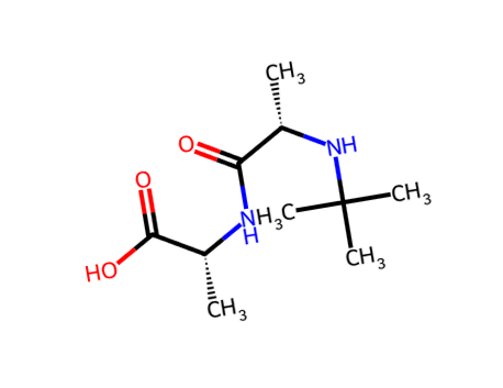 C[C@H](NC(C)(C)C)C(=O)N[C@H](C)C(=O)O